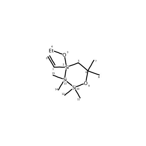 C=C[Si]1(OCC)CC(C)(C)O[Si](C)(C)[Si]1(C)C